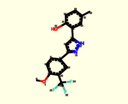 COc1ccc(-c2cc(-c3cc(C)ccc3O)[nH]n2)cc1C(F)(F)F